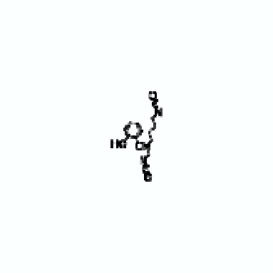 O=C=NCCCCCCN=C=O.Oc1ccccc1O